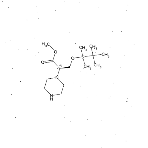 COC(=O)[C@@H](CO[Si](C)(C)C(C)(C)C)N1CCNCC1